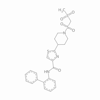 CS(=O)(=O)CS(=O)(=O)N1CCC(c2nc(C(=O)Nc3ccccc3-c3ccccc3)cs2)CC1